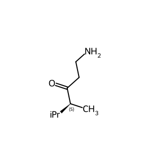 CC(C)[C@H](C)C(=O)CCN